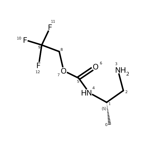 C[C@@H](CN)NC(=O)OCC(F)(F)F